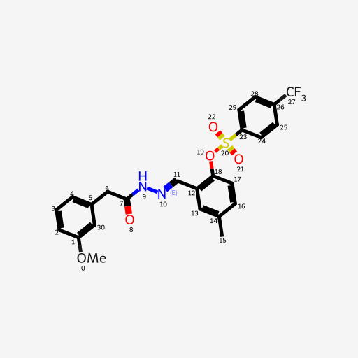 COc1cccc(CC(=O)N/N=C/c2cc(C)ccc2OS(=O)(=O)c2ccc(C(F)(F)F)cc2)c1